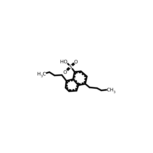 CCCCc1ccc(S(=O)(=O)O)c2c(CCCC)cccc12